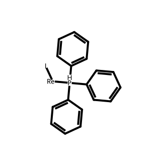 [I][Re][PH](c1ccccc1)(c1ccccc1)c1ccccc1